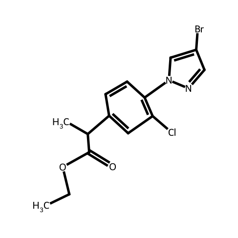 CCOC(=O)C(C)c1ccc(-n2cc(Br)cn2)c(Cl)c1